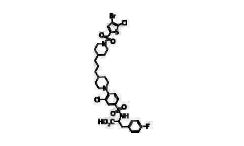 O=C(O)C(Cc1ccc(F)cc1)NS(=O)(=O)c1ccc(N2CCC(CCCC3CCN(S(=O)(=O)c4cc(Br)c(Cl)s4)CC3)CC2)c(Cl)c1